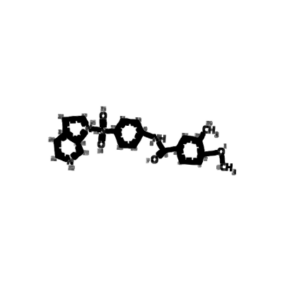 COc1ccc(C(=O)Nc2ccc(S(=O)(=O)n3ccc4ccncc43)cc2)cc1C